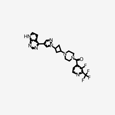 O=C(c1ccnc(C(F)(F)F)c1F)N1CCN(C2CC(n3cc(-c4ncnc5[nH]ccc45)cn3)C2)CC1